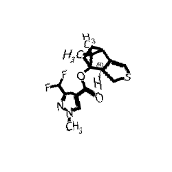 Cn1cc(C(=O)OC23CCC(C4=CSC[C@H]42)C3(C)C)c(C(F)F)n1